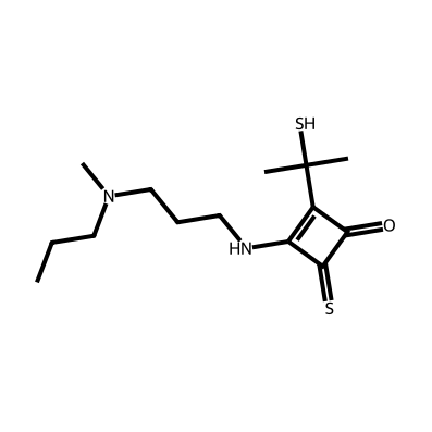 CCCN(C)CCCNc1c(C(C)(C)S)c(=O)c1=S